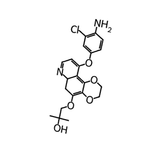 CC(C)(O)COC1=C2OCCOC2=C2C(Oc3ccc(N)c(Cl)c3)=CC=NC2C1